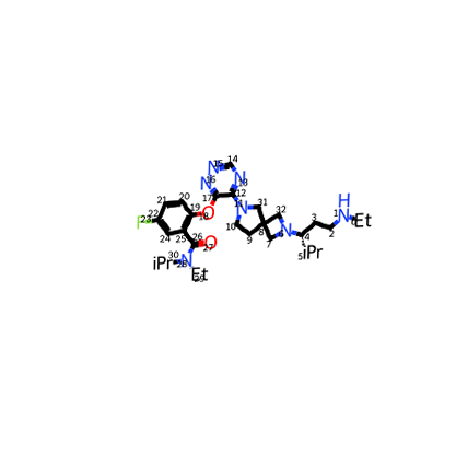 CCNCC[C@H](C(C)C)N1CC2(CCN(c3ncnnc3Oc3ccc(F)cc3C(=O)N(CC)C(C)C)C2)C1